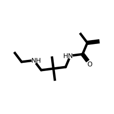 C=C(C)C(=O)NCC(C)(C)CNCC